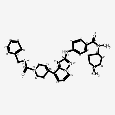 CN1CCC(N(C)C(=O)c2ccc(Nc3nc4c(C5=CCN(C(=O)NCc6ccccc6)CC5)cccn4n3)cc2)CC1